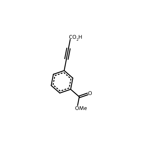 COC(=O)c1cccc(C#CC(=O)O)c1